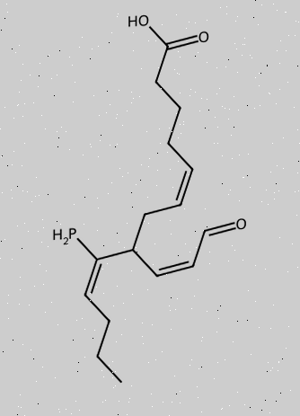 CCC/C=C(/P)C(/C=C\C=O)C/C=C\CCCC(=O)O